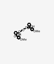 COc1ccc(C(=O)C2(O)CCCCC2C(=O)OCCOCCOC(=O)[C@H]2CCCC[C@]2(O)C(=O)c2ccc(OC)cc2)cc1